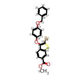 COC(=O)c1ccc2c(Oc3ccc(OCc4ccccc4)cc3)c(Br)sc2c1